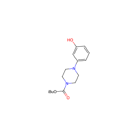 CC(C)COC(=O)N1CCN(c2cccc(O)c2)CC1